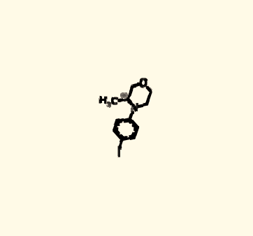 C[C@H]1COCCN1c1ccc(I)cc1